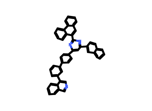 c1cc(-c2ccc(-c3cc(-c4ccc5ccccc5c4)nc(-c4cc5ccccc5c5ccccc45)n3)cc2)cc(-c2cncc3ccccc23)c1